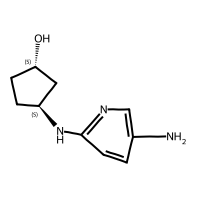 Nc1ccc(N[C@H]2CC[C@H](O)C2)nc1